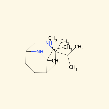 CC(C)C1(C)CC2CCC(CN1)NC2(C)C(C)C